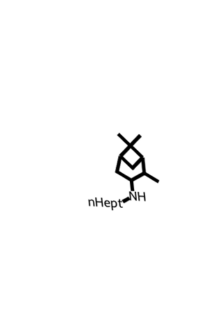 CCCCCCCNC1CC2CC(C1C)C2(C)C